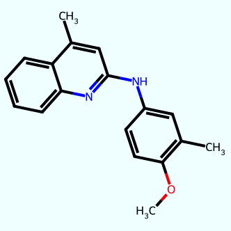 COc1ccc(Nc2cc(C)c3ccccc3n2)cc1C